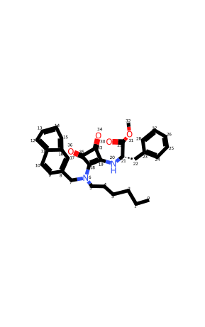 CCCCCCN(Cc1ccc2ccccc2c1)c1c(N[C@@H](Cc2ccccc2)C(=O)OC)c(=O)c1=O